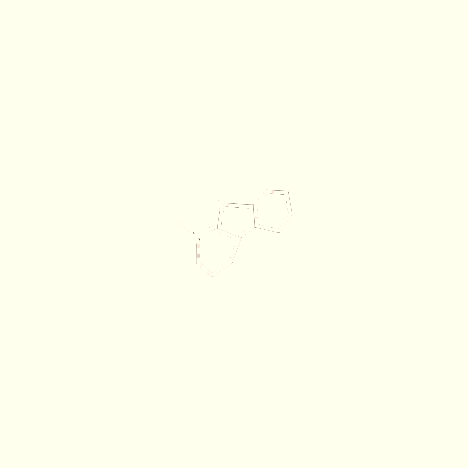 C[n+]1cccc2c3ccccc3sc21